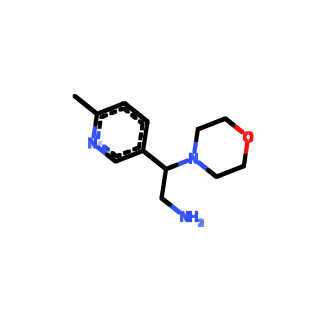 Cc1ccc(C(CN)N2CCOCC2)cn1